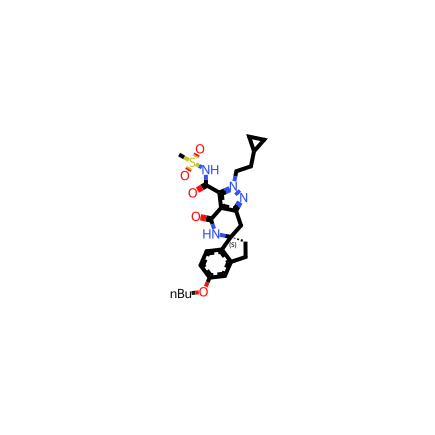 CCCCOc1ccc2c(c1)CC[C@]21Cc2nn(CCC3CC3)c(C(=O)NS(C)(=O)=O)c2C(=O)N1